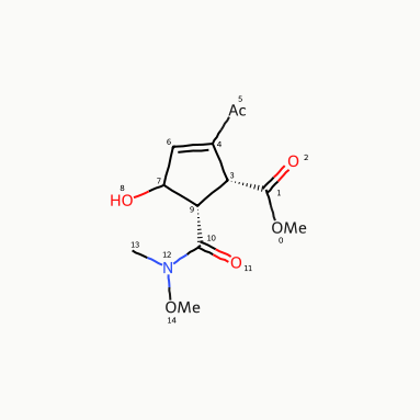 COC(=O)[C@H]1C(C(C)=O)=CC(O)[C@H]1C(=O)N(C)OC